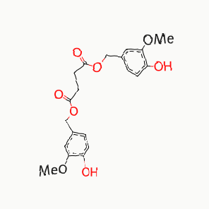 COc1cc(COC(=O)CCC(=O)OCc2ccc(O)c(OC)c2)ccc1O